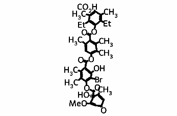 CCc1c(C)c(C(=O)O)c(C)c(CC)c1OC(=O)c1c(C)cc(OC(=O)c2c(C)c(C)c(OC(=O)[C@@]3(O)C(C)=CC(=O)C=C3OC)c(Br)c2O)c(C)c1C